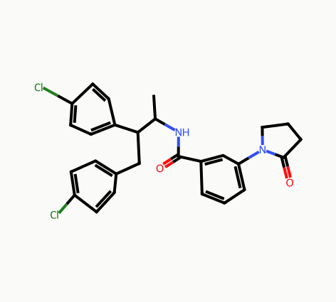 CC(NC(=O)c1cccc(N2CCCC2=O)c1)C(Cc1ccc(Cl)cc1)c1ccc(Cl)cc1